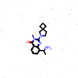 CC(N)c1cccc2c(=O)n(C)c(N3CCC4(CCC4)C3)nc12